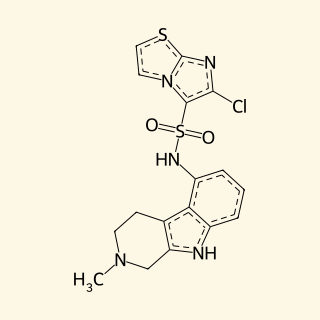 CN1CCc2c([nH]c3cccc(NS(=O)(=O)c4c(Cl)nc5sccn45)c23)C1